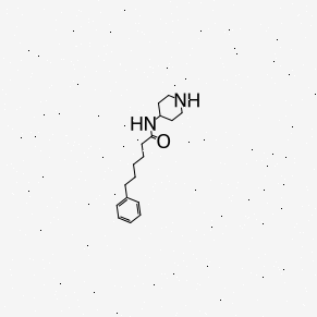 O=C(CCCCCc1ccccc1)NC1CCNCC1